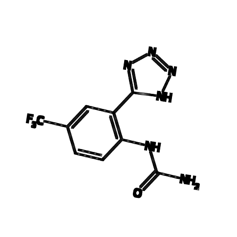 NC(=O)Nc1ccc(C(F)(F)F)cc1-c1nnn[nH]1